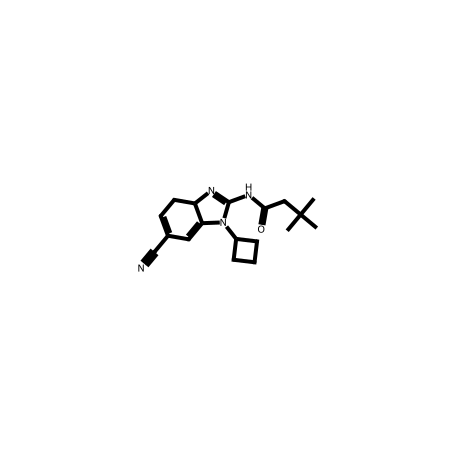 CC(C)(C)CC(=O)NC1=NC2CC=C(C#N)C=C2N1C1CCC1